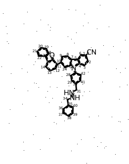 N#Cc1ccc2c(c1)c1ccc(-c3cccc4c3oc3ccccc34)cc1n2-c1ccc(CNNCc2ccccc2)cc1